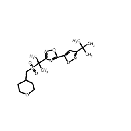 CC(C)(C)c1cc(-c2nc(C(C)(C)S(=O)(=O)CC3CCOCC3)no2)on1